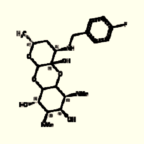 CN[C@@H]1[C@H](O)[C@H](NC)C2O[C@]3(O)C(OC2[C@H]1O)O[C@H](C)C[C@H]3NCc1ccc(F)cc1